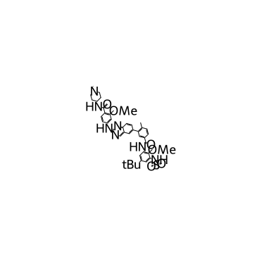 COc1cc(Nc2ncc3cc(-c4cc(C(=O)Nc5cc(C(C)(C)C)cc(NS(C)(=O)=O)c5OC)ccc4C)ccc3n2)ccc1C(=O)NC1CCN(C)CC1